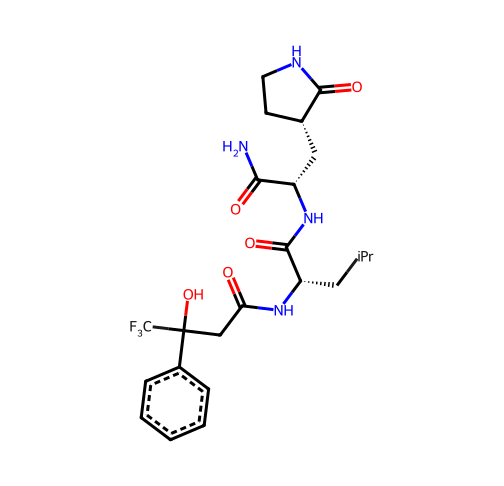 CC(C)C[C@H](NC(=O)CC(O)(c1ccccc1)C(F)(F)F)C(=O)N[C@@H](C[C@@H]1CCNC1=O)C(N)=O